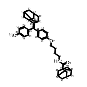 O=C(NCCCCOc1ccc(C(=C2C3CC4CC(C3)CC2C4)c2ccc(O)cc2)cc1)C12CC3CC(CC(C3)C1)C2